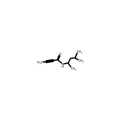 CC#CC(=O)NC(C)CC(C)C